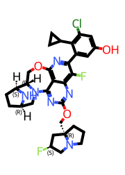 Oc1cc(Cl)c(C2CC2)c(-c2nc3c4c(nc(OC[C@]56CCCN5C[C@@H](F)C6)nc4c2F)N2C[C@H]4CC[C@H](N4)[C@@H]2CO3)c1